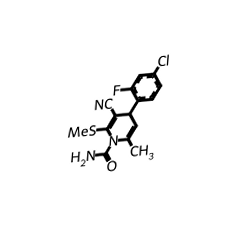 CSC1=C(C#N)C(c2ccc(Cl)cc2F)C=C(C)N1C(N)=O